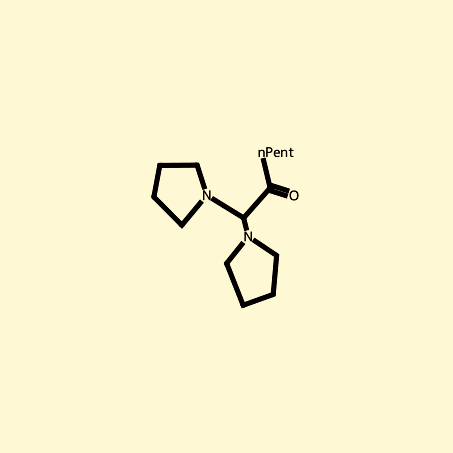 CCCCCC(=O)C(N1CCCC1)N1CCCC1